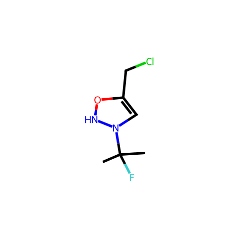 CC(C)(F)N1C=C(CCl)ON1